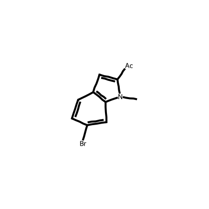 CC(=O)c1cc2ccc(Br)cc2n1C